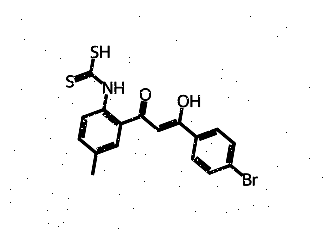 Cc1ccc(NC(=S)S)c(C(=O)/C=C(\O)c2ccc(Br)cc2)c1